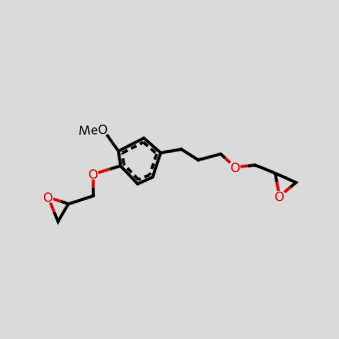 COc1cc(CCCOCC2CO2)ccc1OCC1CO1